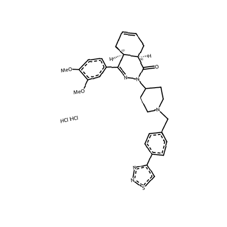 COc1ccc(C2=NN(C3CCN(Cc4ccc(-c5csnn5)cc4)CC3)C(=O)[C@@H]3CC=CC[C@H]23)cc1OC.Cl.Cl